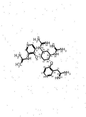 C=C(N)Nc1cnccc1O[C@H]1C[C@@H](Oc2ccncc2CC(=N)N)[C@H](NC(=N)N)C[C@@H]1NC(=N)N